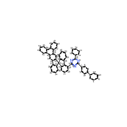 c1ccc(-c2ccc(-c3nc(-c4ccccc4)nc(-c4cccc5c4-c4ccccc4C54c5ccccc5-c5cc6c7ccccc7c7ccccc7c6cc54)n3)cc2)cc1